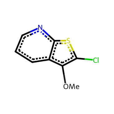 COc1c(Cl)sc2ncccc12